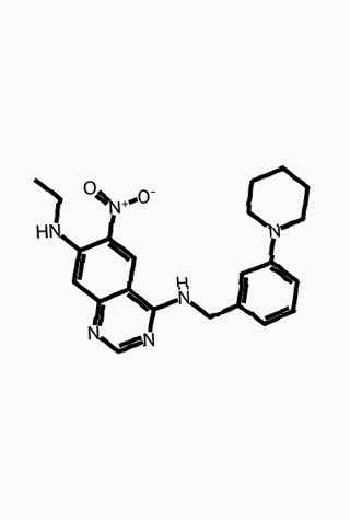 CCNc1cc2ncnc(NCc3cccc(N4CCCCC4)c3)c2cc1[N+](=O)[O-]